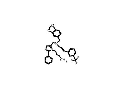 CCCCn1c(CN(CC=Cc2cccc(C(F)(F)F)c2)Cc2ccc3c(c2)OCO3)cnc1-c1ccccc1